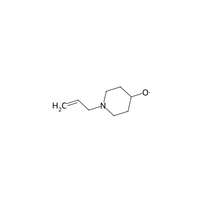 C=CCN1CCC([O])CC1